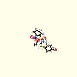 CN(Cc1cc(Br)ccc1F)S(=O)(=O)c1ccccc1[N+](=O)[O-]